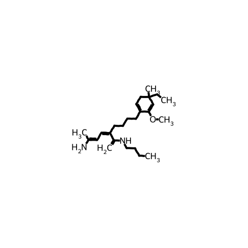 C=C(NCCCC)/C(=C\C=C(/C)N)CCCCC1=CCC(C)(CC)C=C1OC